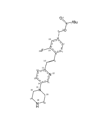 CC(C)(C)C(=O)OCc1ccc(CCc2ccc(N3CCNCC3)cn2)c(F)c1